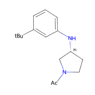 CC(=O)N1CC[C@@H](Nc2cccc(C(C)(C)C)c2)C1